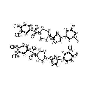 Cc1cc(C)cc(-c2csc(N3CCN(S(=O)(=O)c4ccc(Cl)c(Cl)c4)CC3)n2)c1.O=S(=O)(c1ccc(Cl)c(Cl)c1)N1CCN(c2nc(-c3ccc(F)c(Cl)c3)cs2)CC1